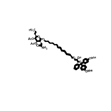 COc1ccc(C(OC[C@@H](O)COCCCCCCCCCCCCCO[C@@H]2O[C@H]([CH]CC(=O)O)[C@@H](OC(C)=O)[C@H](OC(C)=O)[C@H]2CC(N)=O)(c2ccccc2)c2ccc(OC)cc2)cc1